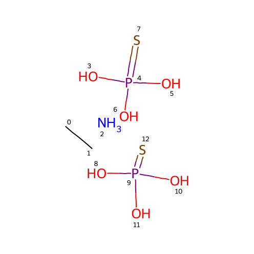 CC.N.OP(O)(O)=S.OP(O)(O)=S